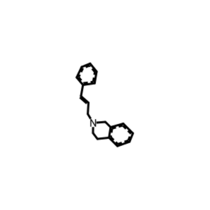 C(=Cc1ccccc1)CN1CCc2ccccc2C1